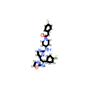 O=C(Cc1ccc(F)cc1)N1CCC(Nc2nccc(C3C(c4ccc(F)cc4)N=C4OC=CN43)n2)CC1